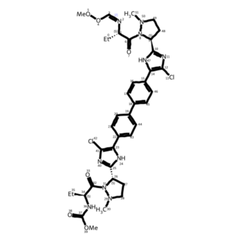 CC[C@H](/N=C\OOC)C(=O)N1[C@H](c2nc(Cl)c(-c3ccc(-c4ccc(-c5[nH]c([C@@H]6CCN(C)N6C(=O)[C@H](CC)NC(=O)OC)nc5Cl)cc4)cc3)[nH]2)CCN1C